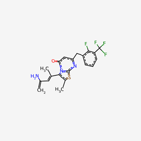 C=C(N)/C=C(\C)c1c(C)sc2nc(Cc3cccc(C(F)(F)F)c3F)cc(=O)n12